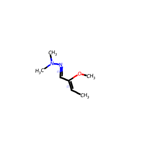 C/C=C(/C=N/N(C)C)OC